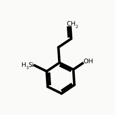 C=CCc1c(O)cccc1[SiH3]